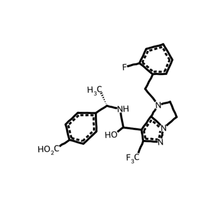 C[C@H](NC(O)c1c(C(F)(F)F)nn2c1N(Cc1ccccc1F)CC2)c1ccc(C(=O)O)cc1